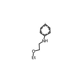 CCOCCNc1cc[c]cc1